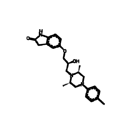 Cc1ccc(N2C[C@@H](C)N(C[C@H](O)COc3ccc4c(c3)CC(=O)N4)[C@@H](C)C2)cc1